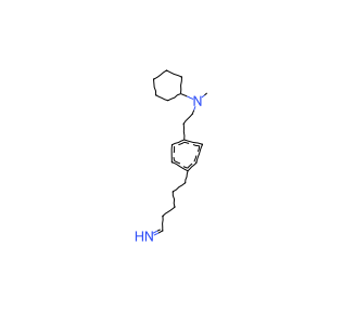 CN(CCc1ccc(CCCCC=N)cc1)C1CCCCC1